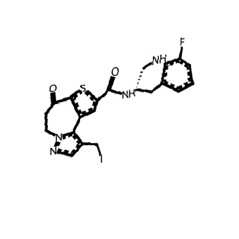 NC[C@H](Cc1cccc(F)c1)NC(=O)c1cc2c(s1)C(=O)CCn1ncc(CI)c1-2